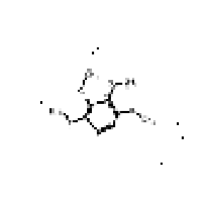 [SiH3]Oc1[c]cc(O[SiH3])c(O[SiH3])c1O[SiH3]